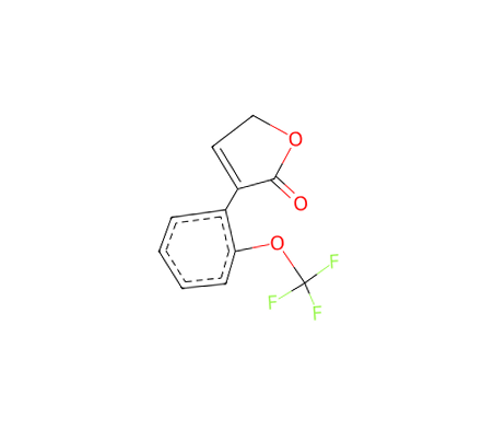 O=C1OCC=C1c1ccccc1OC(F)(F)F